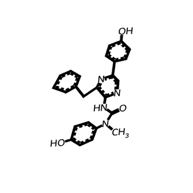 CN(C(=O)Nc1ncc(-c2ccc(O)cc2)nc1Cc1ccccc1)c1ccc(O)cc1